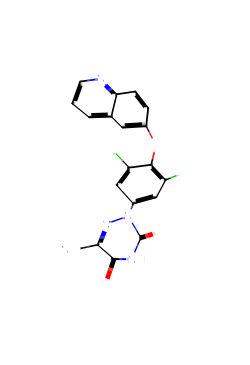 N#Cc1nn(-c2cc(Cl)c(Oc3ccc4ncccc4c3)c(Cl)c2)c(=O)[nH]c1=O